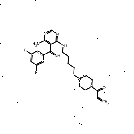 C=CC(=O)N1CCN(CCCCCNc2ncnc(N)c2C(=N)c2cc(F)cc(F)c2)CC1